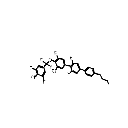 CCCCc1ccc(-c2cc(F)c(-c3cc(F)c(OC(F)(F)c4cc(F)c(Cl)c(F)c4)c(Cl)c3)c(F)c2)cc1